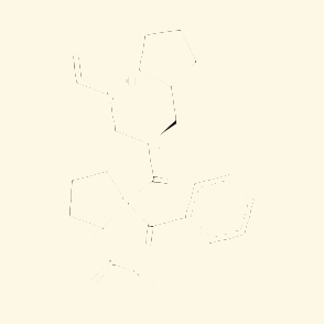 NC(=O)[C@@H]1CCC[N+]1(C(=O)c1ccccc1)C(=O)[C@H](CC1CCCC1)CN(O)C=O